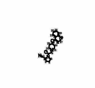 N#C[C@@H]1CCCN1C(=O)CN1CCC(Oc2ccnc3ccccc23)CC1